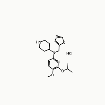 COc1ccc(N(Cc2cncs2)C2CCNCC2)nc1OC(C)C.Cl